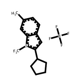 Cc1ccc2cc(C3CCCC3)[s+](C(F)(F)F)c2c1.F[B-](F)(F)F